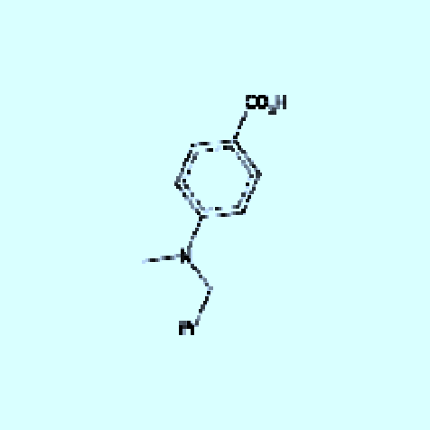 CC(C)CN(C)c1ccc(C(=O)O)cc1